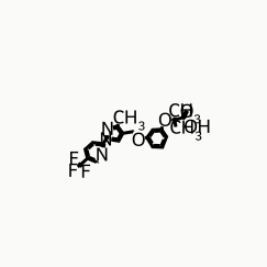 Cc1nn(-c2ccc(C(F)(F)F)cn2)cc1COc1cccc(OC(C)(C)C(=O)O)c1